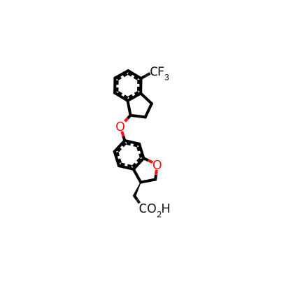 O=C(O)C[C@@H]1COc2cc(OC3CCc4c3cccc4C(F)(F)F)ccc21